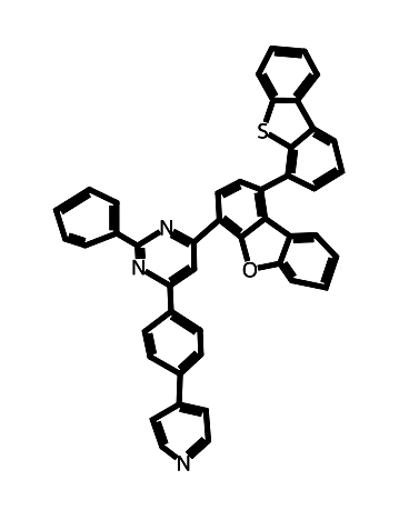 c1ccc(-c2nc(-c3ccc(-c4ccncc4)cc3)cc(-c3ccc(-c4cccc5c4sc4ccccc45)c4c3oc3ccccc34)n2)cc1